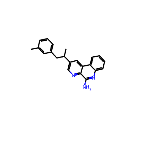 Cc1cccc(CC(C)c2cnc3c(N)nc4ccccc4c3c2)c1